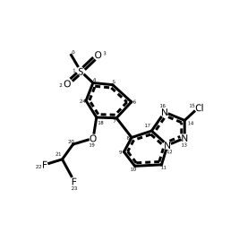 CS(=O)(=O)c1ccc(-c2cccn3nc(Cl)nc23)c(OCC(F)F)c1